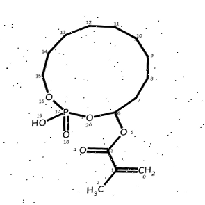 C=C(C)C(=O)OC1CCCCCCCCCOP(=O)(O)O1